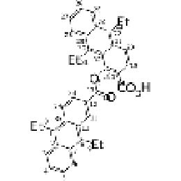 CCc1c2ccccc2c(CC)c2cc(C(=O)Oc3c(C(=O)O)ccc4c(CC)c5ccccc5c(CC)c34)ccc12